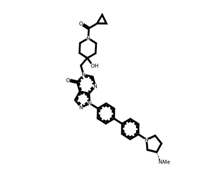 CN[C@H]1CCN(c2ccc(-c3ccc(-n4ncc5c(=O)n(CC6(O)CCN(C(=O)C7CC7)CC6)cnc54)cc3)cc2)C1